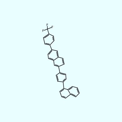 FC(F)(F)c1ccc(-c2ccc3cc(-c4ccc(-c5cccc6ccccc56)cc4)ccc3c2)cc1